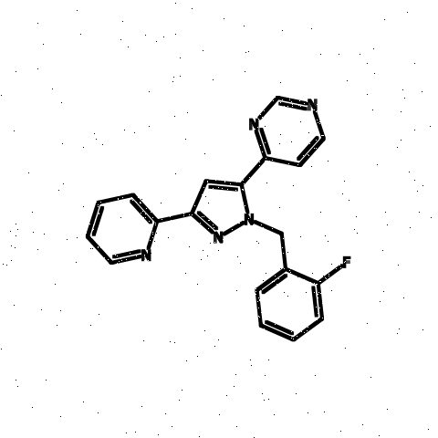 Fc1ccccc1Cn1nc(-c2ccccn2)cc1-c1ccncn1